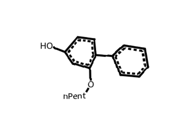 CCCCCOc1cc(O)ccc1-c1ccccc1